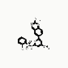 Cc1cc(NS(=O)(=O)c2ccccc2Cl)nc(-c2ccc3nc(N)ncc3c2)c1